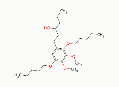 CCCCCOc1cc(CCC(O)CCC)c(OCCCCC)c(OC)c1OC